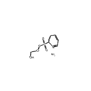 N.O=S(=O)(OOCO)c1ccccn1